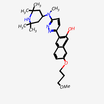 COCCCOc1ccc2cc(-c3ccc(N(C)C4CC(C)(C)NC(C)(C)C4)nn3)c(O)cc2c1